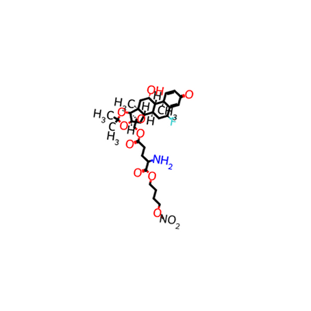 CC1(C)O[C@@H]2C[C@H]3[C@@H]4C[C@H](F)C5=CC(=O)C=C[C@]5(C)[C@H]4[C@@H](O)C[C@]3(C)[C@]2(C(=O)COC(=O)CCC(N)C(=O)OCCCCO[N+](=O)[O-])O1